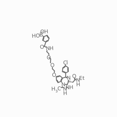 CCNC(=O)C[C@@H]1N=C(c2ccc(Cl)cc2)c2cc(OCCOCCOCCNC(=O)c3cccc(B(O)O)c3)ccc2N2C(C)NNC12